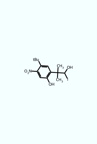 CC(C)(C)c1cc(C(C)(C)C(O)I)c(O)cc1[N+](=O)[O-]